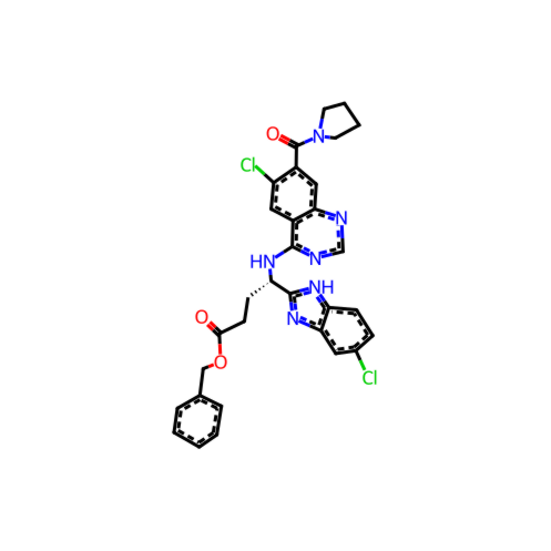 O=C(CC[C@H](Nc1ncnc2cc(C(=O)N3CCCC3)c(Cl)cc12)c1nc2cc(Cl)ccc2[nH]1)OCc1ccccc1